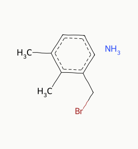 Cc1cccc(CBr)c1C.N